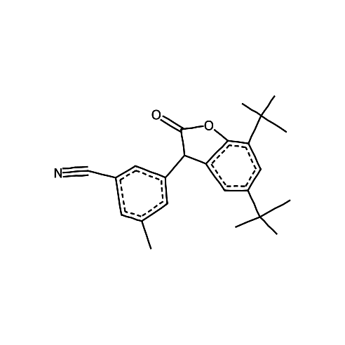 Cc1cc(C#N)cc(C2C(=O)Oc3c2cc(C(C)(C)C)cc3C(C)(C)C)c1